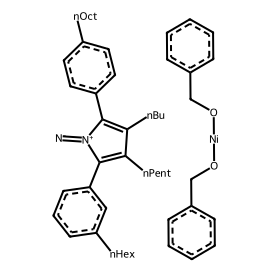 CCCCCCCCc1ccc(C2=C(CCCC)C(CCCCC)=C(c3cccc(CCCCCC)c3)[N+]2=[N-])cc1.c1ccc(C[O][Ni][O]Cc2ccccc2)cc1